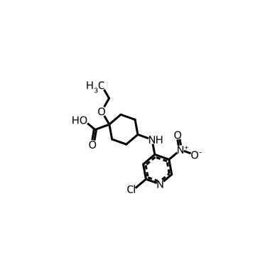 CCOC1(C(=O)O)CCC(Nc2cc(Cl)ncc2[N+](=O)[O-])CC1